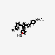 CC(=O)NC1CCC(c2nnc(-c3cnc(-c4ccc5cc(C#N)cnn45)cc3NC34CCC(O)(CC3)CC4)s2)CC1